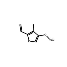 C=Cc1occ(OCCCC)c1C